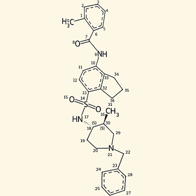 Cc1ccccc1C(=O)Nc1ccc(S(=O)(=O)N[C@H]2CCN(Cc3ccccc3)C[C@@H]2C)c2c1CCC2